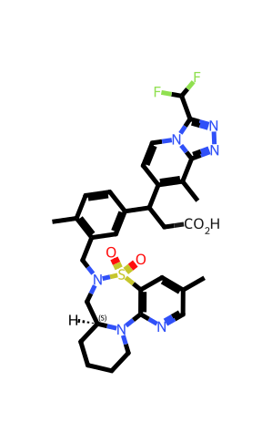 Cc1cnc2c(c1)S(=O)(=O)N(Cc1cc(C(CC(=O)O)c3ccn4c(C(F)F)nnc4c3C)ccc1C)C[C@@H]1CCCCN21